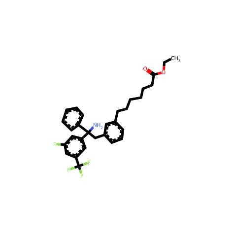 CCOC(=O)CCCCCCc1cccc(CC(N)(c2ccccc2)c2cc(F)cc(C(F)(F)F)c2)c1